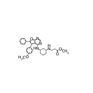 COC(=O)CCNC1CCCC(Nc2ncnc3oc(-c4ccccc4)c(-c4ccc(OC)cc4)c23)C1